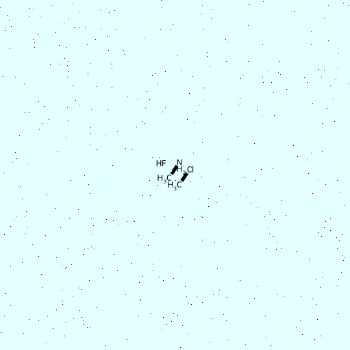 CCl.CN.F